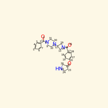 O=C(c1ccccc1)N1CCN(C2CN(C(=O)c3ccc(O[C@@H]4CCNC4)cc3)C2)CC1